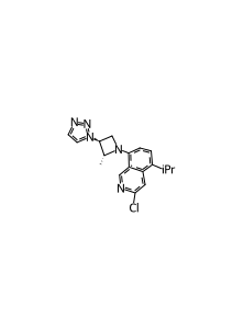 CC(C)c1ccc(N2C[C@H](n3ccnn3)[C@H]2C)c2cnc(Cl)cc12